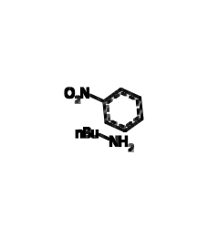 CCCCN.O=[N+]([O-])c1ccccc1